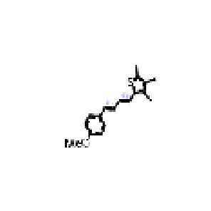 COc1ccc(/C=C/C=C/c2sc(C)c(C)c2C)cc1